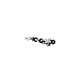 CN1CC2(CCN(c3ccc(C(=O)Nc4nc(-c5ccccc5Cl)cs4)nc3)CC2)C1